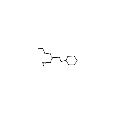 CCCCN(CCC1CCCCC1)CNC